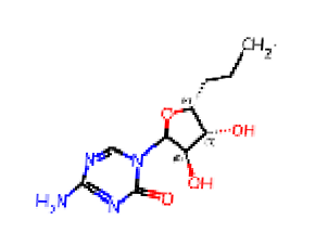 [CH2]CC[C@H]1OC(n2cnc(N)nc2=O)[C@H](O)[C@H]1O